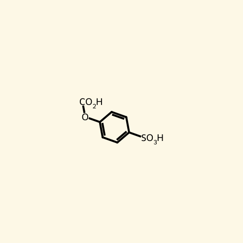 O=C(O)Oc1ccc(S(=O)(=O)O)cc1